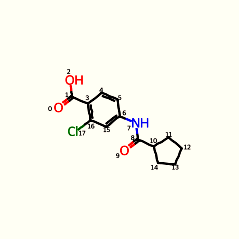 O=C(O)c1ccc(NC(=O)C2CCCC2)cc1Cl